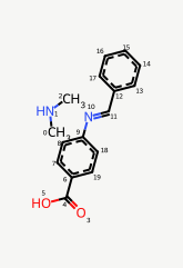 CNC.O=C(O)c1ccc(N=Cc2ccccc2)cc1